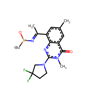 CC(=N[S+]([O-])C(C)(C)C)c1cc(C)cc2c(=O)n(C)c(N3CCC(F)(F)C3)nc12